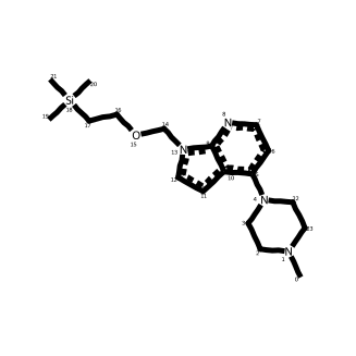 CN1CCN(c2ccnc3c2ccn3COCC[Si](C)(C)C)CC1